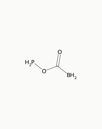 BC(=O)OP